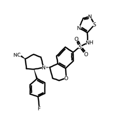 N#C[C@H]1CCN([C@H]2CCOc3cc(S(=O)(=O)Nc4ncns4)ccc32)[C@@H](c2ccc(F)cc2)C1